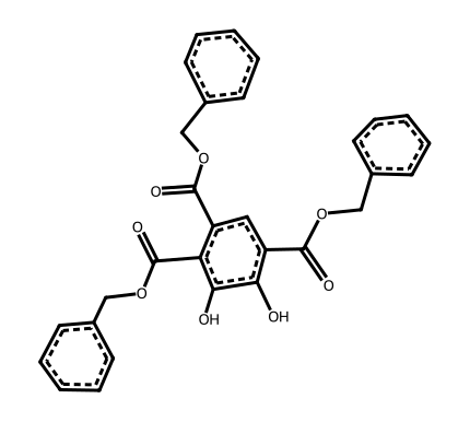 O=C(OCc1ccccc1)c1cc(C(=O)OCc2ccccc2)c(C(=O)OCc2ccccc2)c(O)c1O